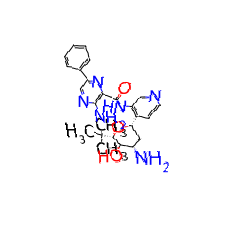 CC(C)(C)[C@@H]1O[C@H](c2ccncc2NC(=O)c2nc(-c3ccccc3)cnc2N)C[C@H](N)[C@H]1O